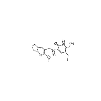 CCc1cc(NCc2cc3c(nc2OC)CCC3)c(=O)[nH]c1CO